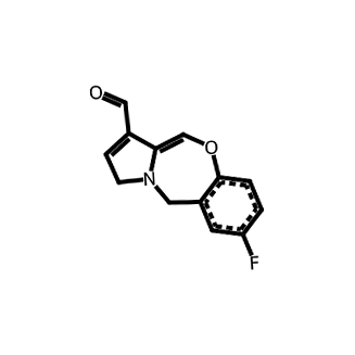 O=CC1=CCN2Cc3cc(F)ccc3OC=C12